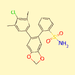 Cc1cc(-c2cc3c(cc2-c2ccccc2S(N)(=O)=O)OCO3)cc(C)c1Cl